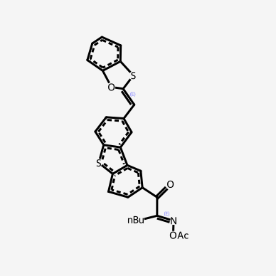 CCCC/C(=N\OC(C)=O)C(=O)c1ccc2sc3ccc(/C=C4\Oc5ccccc5S4)cc3c2c1